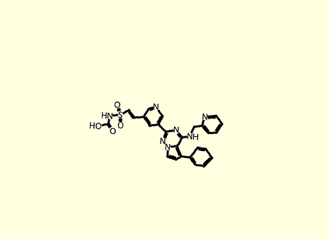 O=C(O)NS(=O)(=O)C=Cc1cncc(-c2nc(NCc3ccccn3)c3c(-c4ccccc4)ccn3n2)c1